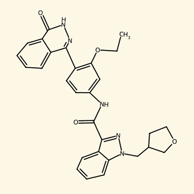 CCOc1cc(NC(=O)c2nn(CC3CCOC3)c3ccccc23)ccc1-c1n[nH]c(=O)c2ccccc12